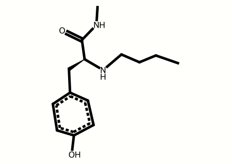 CCCCN[C@@H](Cc1ccc(O)cc1)C(=O)NC